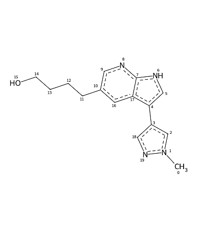 Cn1cc(-c2c[nH]c3ncc(CCCCO)cc23)cn1